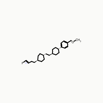 COCc1ccc([C@H]2CC[C@H](CC[C@H]3CC[C@H](CC/C=C/F)CC3)CC2)cc1